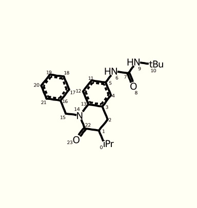 CC(C)C1Cc2cc(NC(=O)NC(C)(C)C)ccc2N(Cc2ccccc2)C1=O